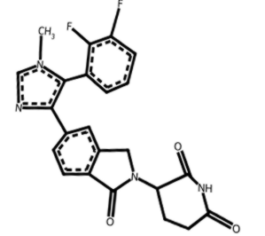 Cn1cnc(-c2ccc3c(c2)CN(C2CCC(=O)NC2=O)C3=O)c1-c1cccc(F)c1F